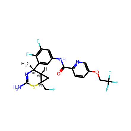 C[C@]1(c2cc(NC(=O)c3ccc(OCC(F)(F)F)cn3)cc(F)c2F)N=C(N)S[C@@]2(CF)C[C@H]21